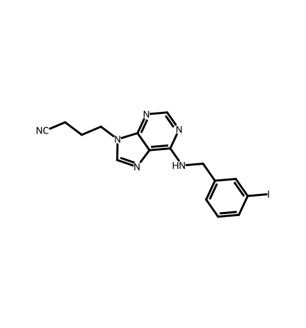 N#CCCCn1cnc2c(NCc3cccc(I)c3)ncnc21